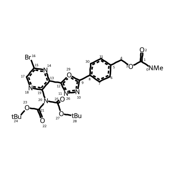 CNC(=O)OCc1ccc(-c2nnc(-c3nc(Br)cnc3N(C(=O)OC(C)(C)C)C(=O)OC(C)(C)C)o2)cc1